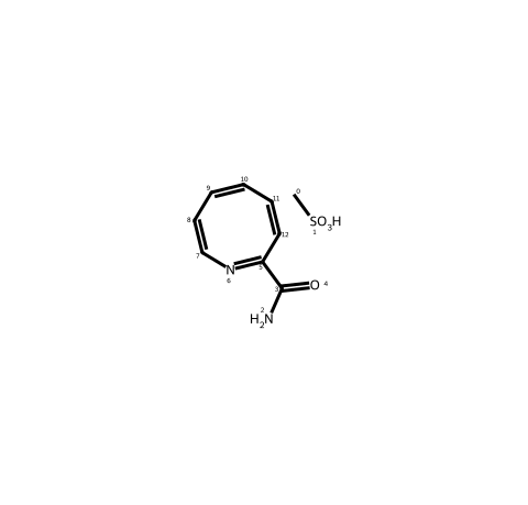 CS(=O)(=O)O.NC(=O)C1=NC=CC=CC=C1